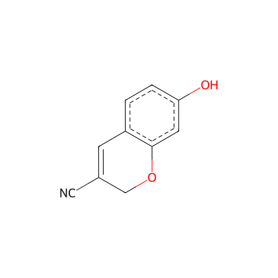 N#CC1=Cc2ccc(O)cc2OC1